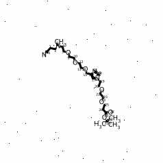 CN(CCC#N)CCOCCOCCOCc1cn(CCOCCOCCC(=O)OC(C)(C)C)nn1